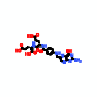 Nc1nc(O)c2nc(CNc3ccc(C(=O)N[C@@H](CCC(=O)O)C(=O)N[C@@H](CCC(=O)O)C(=O)O)cc3)cnc2n1